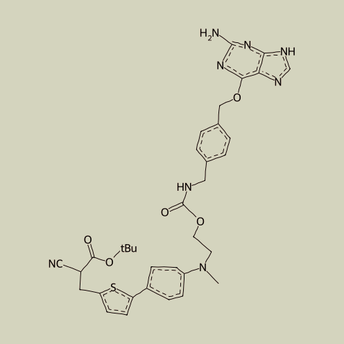 CN(CCOC(=O)NCc1ccc(COc2nc(N)nc3[nH]cnc23)cc1)c1ccc(-c2ccc(CC(C#N)C(=O)OC(C)(C)C)s2)cc1